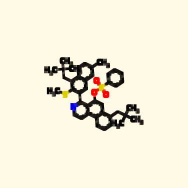 CSc1c(-c2nccc3c2c(OS(=O)(=O)c2ccccc2)cc2c(CC(C)(C)C)cccc23)cc2cc(C)ccc2c1CC(C)(C)C